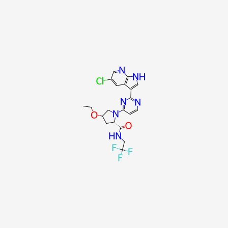 CCOC1C[C@@H](C(=O)NCC(F)(F)F)N(c2ccnc(-c3c[nH]c4ncc(Cl)cc34)n2)C1